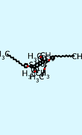 CCCCCCCCCCCCc1ccc(-c2cc3c(s2)C2=C(c4cc5cc6c(cc5cc4C2(OCC)OCC)-c2sc(-c4ccc(CCCCCCCCCCCC)cc4)cc2C6(OCC)OCC)[SiH]3CCCCCCCC)cc1